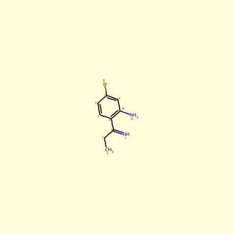 CCC(=N)c1ccc(Br)cc1N